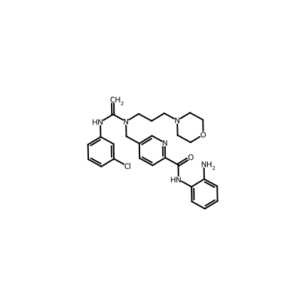 C=C(Nc1cccc(Cl)c1)N(CCCN1CCOCC1)Cc1ccc(C(=O)Nc2ccccc2N)nc1